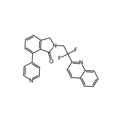 O=C1c2c(cccc2-c2ccncc2)CN1CC(F)(F)c1ccc2ccccc2n1